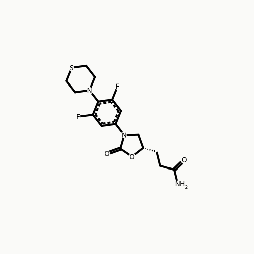 NC(=O)CC[C@H]1CN(c2cc(F)c(N3CCSCC3)c(F)c2)C(=O)O1